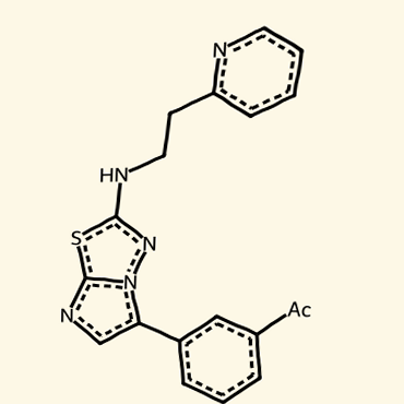 CC(=O)c1cccc(-c2cnc3sc(NCCc4ccccn4)nn23)c1